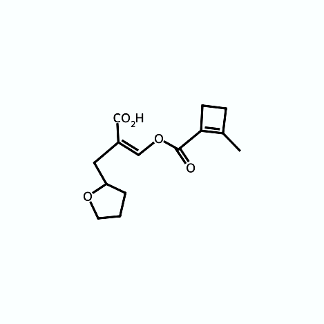 CC1=C(C(=O)OC=C(CC2CCCO2)C(=O)O)CC1